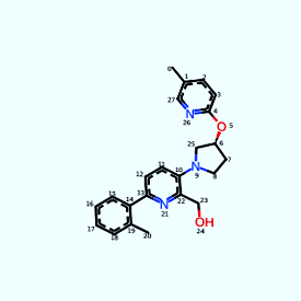 Cc1ccc(O[C@H]2CCN(c3ccc(-c4ccccc4C)nc3CO)C2)nc1